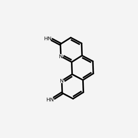 N=C1C=Cc2ccc3c(c2=N1)=NC(=N)C=C3